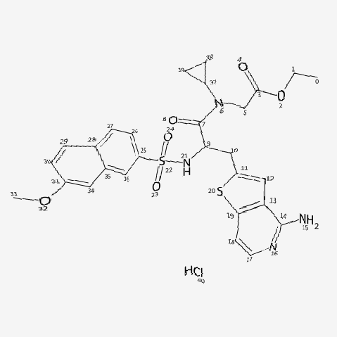 CCOC(=O)CN(C(=O)C(Cc1cc2c(N)nccc2s1)NS(=O)(=O)c1ccc2ccc(OC)cc2c1)C1CC1.Cl